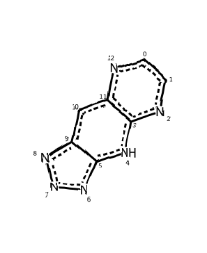 c1cnc2[nH]c3nnnc-3cc2n1